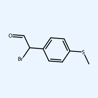 CSc1ccc(C(Br)C=O)cc1